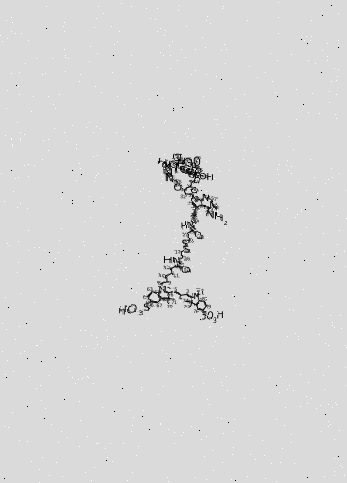 CCN1/C(=C/C=C/C2=[N+](CCCCCC(=O)NCCSSCCC(=O)NCC#Cc3cn(C4CC(OCN=[N+]=[N-])C(COP(=O)(O)OP(=O)(O)OP(=O)(O)O)O4)c4ncnc(N)c34)c3ccc(S(=O)(=O)O)cc3C2(C)C)C(C)(C)c2cc(S(=O)(=O)O)ccc21